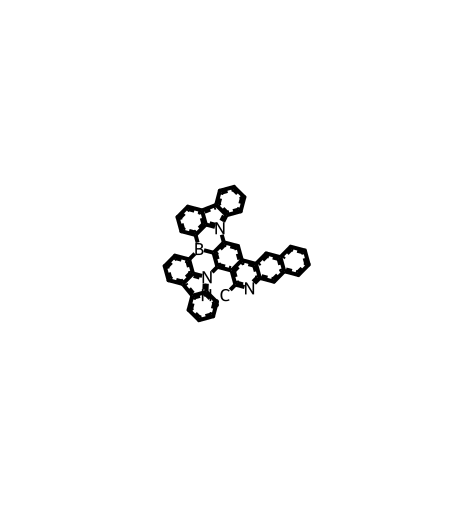 Cc1nc2cc3ccccc3cc2c2cc3c4c(c12)-n1c2ccccc2c2cccc(c21)B4c1cccc2c4ccccc4n-3c12